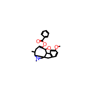 COc1ccc2c3c1OC1/C(OC(=O)c4ccccc4)=C\CC(C)C(C2)N(C)CCC31